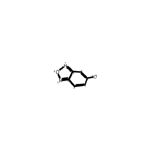 Clc1ccc2nonc2c1